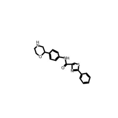 O=C(Nc1ccc(C2CNCCO2)cc1)c1csc(-c2ccccc2)n1